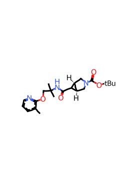 Cc1cccnc1OCC(C)(C)NC(=O)C1[C@H]2CN(C(=O)OC(C)(C)C)C[C@@H]12